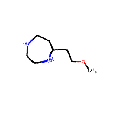 COCCC1CCNCCN1